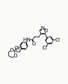 O=C(CCc1cnoc1-c1cc(Cl)cc(Cl)c1)Nc1ccc(C[P]2(O)OCCCO2)cc1